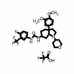 COc1ccc(C23CCC(NC(=O)Nc4ccc(F)c(C(F)(F)F)c4)CC2N(C2CCOCC2)CC3)cc1OC.O=C(O)C(F)(F)F